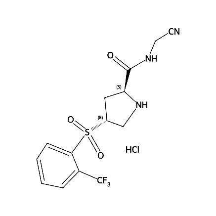 Cl.N#CCNC(=O)[C@@H]1C[C@@H](S(=O)(=O)c2ccccc2C(F)(F)F)CN1